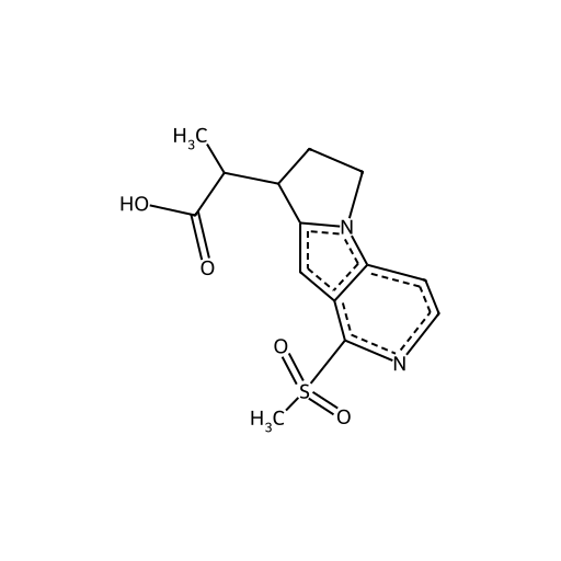 CC(C(=O)O)C1CCn2c1cc1c(S(C)(=O)=O)nccc12